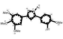 CCc1cc(-c2cc(-c3cc(OC)c(OC)c(OC)c3)nn2C(C)=O)ccc1OC